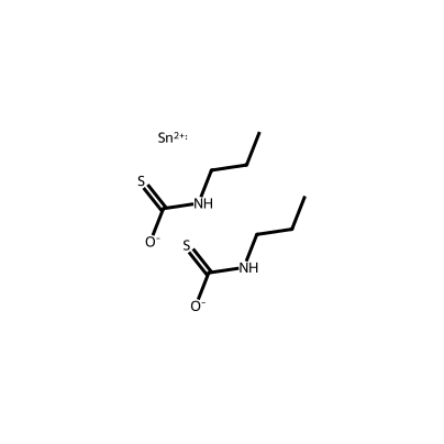 CCCNC([O-])=S.CCCNC([O-])=S.[Sn+2]